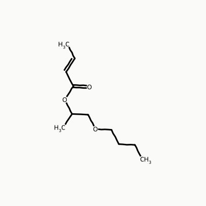 CC=CC(=O)OC(C)COCCCC